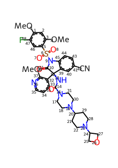 COc1cc(OC)c(S(=O)(=O)N2C(=O)[C@@](NC(=O)N3CCN(C4CCN(C5COC5)CC4)CC3)(c3cccnc3OC)c3cc(C#N)ccc32)cc1F